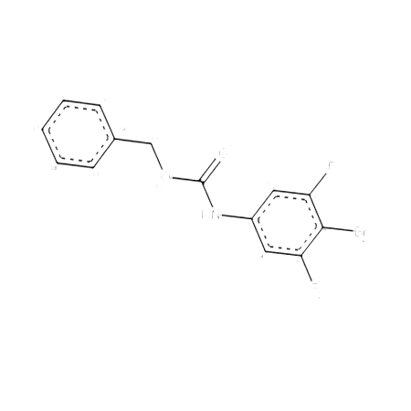 O=C(Nc1cc(F)c(Br)c(F)c1)OCc1ccccc1